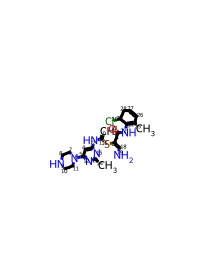 C=C(Nc1cc(N2CCNCC2)nc(C)n1)S/C(=C\N)C(=O)NC1=C(C)C=CCC1Cl